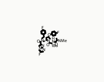 CN[C@@H](C)C(=O)N[C@H](C(=O)N1C[C@@H](Oc2ccc(F)cc2)C[C@H]1CN(CCc1ccc(F)cc1)C(=O)c1cn2cc(F)cnc2n1)C(C)(C)C